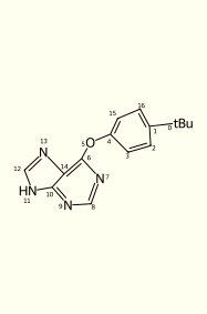 CC(C)(C)c1ccc(Oc2ncnc3[nH]cnc23)cc1